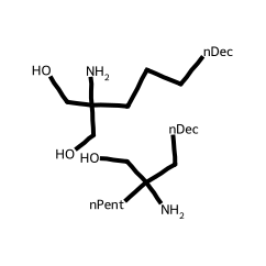 CCCCCCCCCCCC(N)(CO)CCCCC.CCCCCCCCCCCCCC(N)(CO)CO